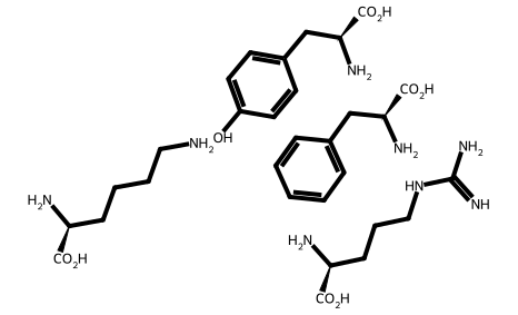 N=C(N)NCCC[C@H](N)C(=O)O.NCCCC[C@H](N)C(=O)O.N[C@@H](Cc1ccc(O)cc1)C(=O)O.N[C@@H](Cc1ccccc1)C(=O)O